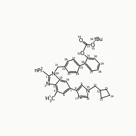 CCCc1nc2c(C)cc(-c3cn(CC4CCC4)cn3)cc2n1Cc1ccc(-c2ccccc2OC(=O)OC(C)(C)C)cc1